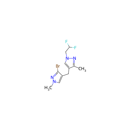 Cc1nn(CC(F)F)cc1Cc1cn(C)nc1Br